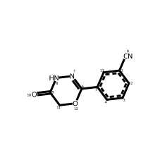 N#Cc1cccc(C2=NNC(=O)CO2)c1